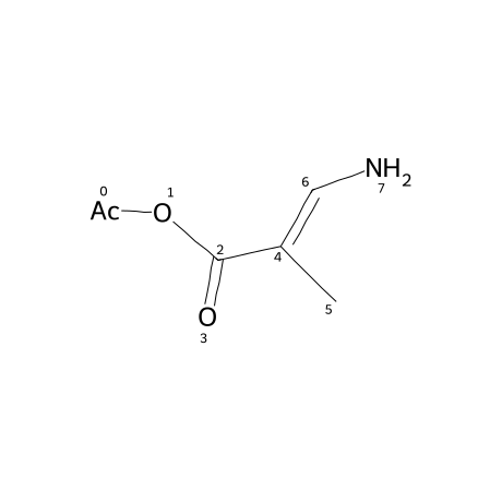 CC(=O)OC(=O)C(C)=CN